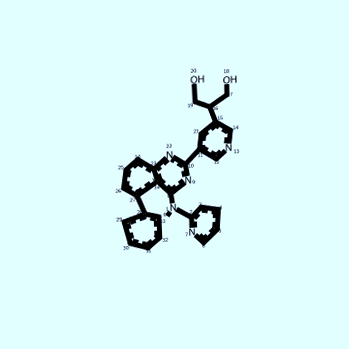 CN(c1ccccn1)c1nc(-c2cncc(C(CO)CO)c2)nc2cccc(-c3ccccc3)c12